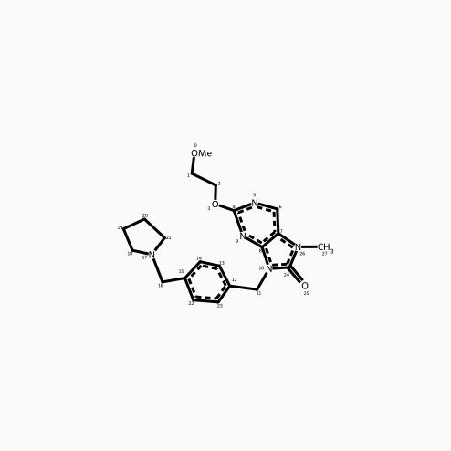 COCCOc1ncc2c(n1)n(Cc1ccc(CN3CCCC3)cc1)c(=O)n2C